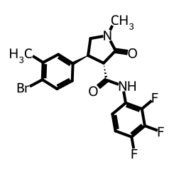 Cc1cc([C@H]2CN(C)C(=O)[C@@H]2C(=O)Nc2ccc(F)c(F)c2F)ccc1Br